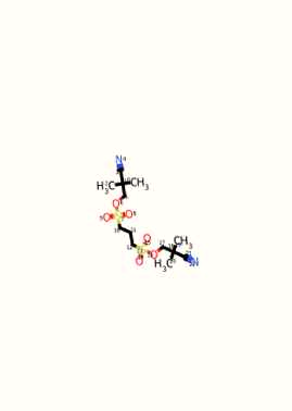 CC(C)(C#N)COS(=O)(=O)CCCS(=O)(=O)OCC(C)(C)C#N